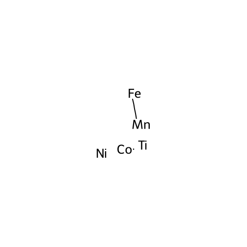 [Co].[Mn][Fe].[Ni].[Ti]